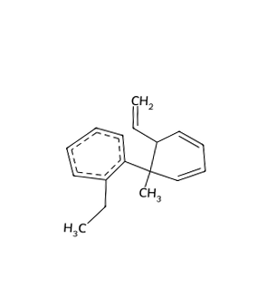 C=CC1C=CC=CC1(C)c1ccccc1CC